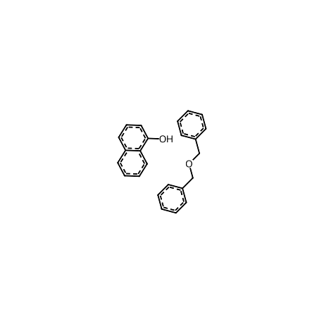 Oc1cccc2ccccc12.c1ccc(COCc2ccccc2)cc1